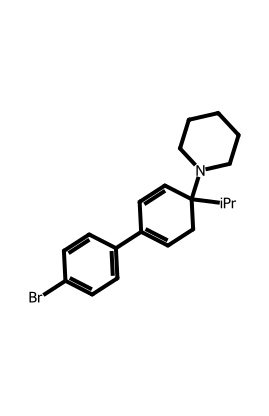 CC(C)C1(N2CCCCC2)C=CC(c2ccc(Br)cc2)=CC1